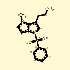 Cn1ccc2c1c(CCN)cn2S(=O)(=O)c1ccccc1